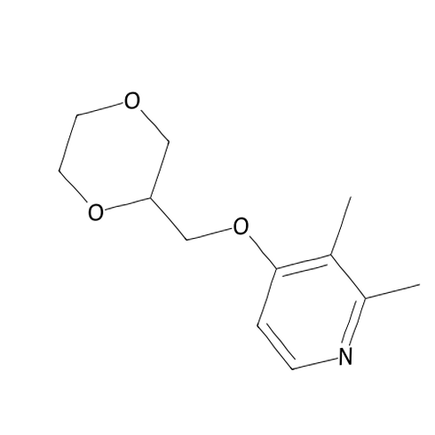 Cc1nccc(OCC2COCCO2)c1C